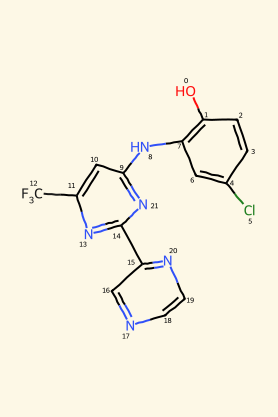 Oc1ccc(Cl)cc1Nc1cc(C(F)(F)F)nc(-c2cnccn2)n1